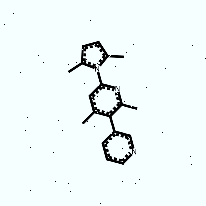 Cc1cc(-n2c(C)ccc2C)nc(C)c1-c1cccnc1